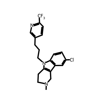 CN1CCc2c(c3cc(Cl)ccc3n2CCCc2ccc(C(F)(F)F)nc2)C1